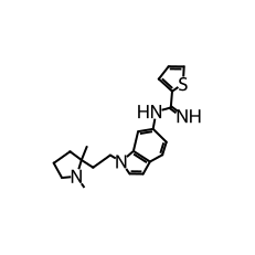 CN1CCCC1(C)CCn1ccc2ccc(NC(=N)c3cccs3)cc21